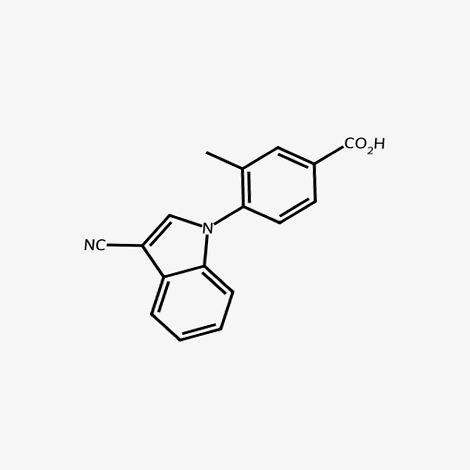 Cc1cc(C(=O)O)ccc1-n1cc(C#N)c2ccccc21